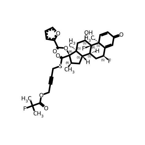 C[C@@H]1C[C@H]2[C@@H]3C[C@H](F)C4=CC(=O)C=C[C@]4(C)[C@@]3(F)[C@@H](O)C[C@]2(C)[C@@]1(OC(=O)c1ccco1)C(=O)SCC#CCOC(=O)C(C)(C)F